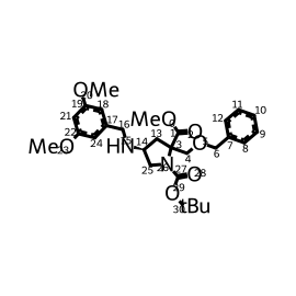 COC(=O)C1(COCc2ccccc2)C[C@H](NCc2cc(OC)cc(OC)c2)CN1C(=O)OC(C)(C)C